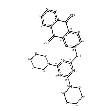 O=C1c2ccccc2C(=O)c2cc(Nc3nc(N4CCCCC4)nc(N4CCCCC4)n3)ccc21